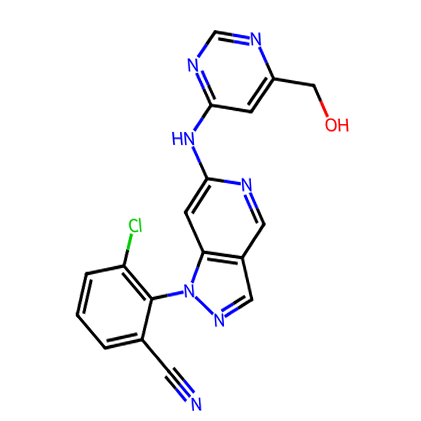 N#Cc1cccc(Cl)c1-n1ncc2cnc(Nc3cc(CO)ncn3)cc21